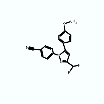 CSc1ccc(-c2cc(C(F)F)nn2-c2ccc(C#N)cc2)cc1